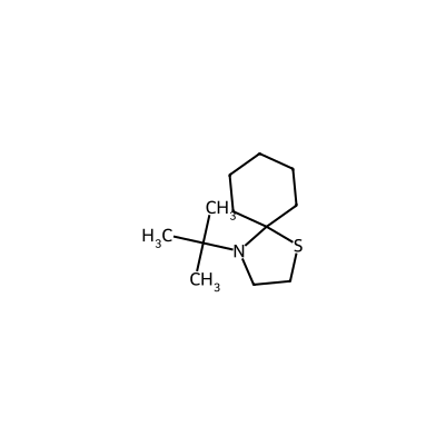 CC(C)(C)N1CCSC12CCCCC2